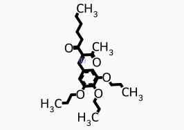 CCCCCC(=O)/C(=C/c1cc(OCCC)c(OCCC)c(OCCC)c1)C(C)=O